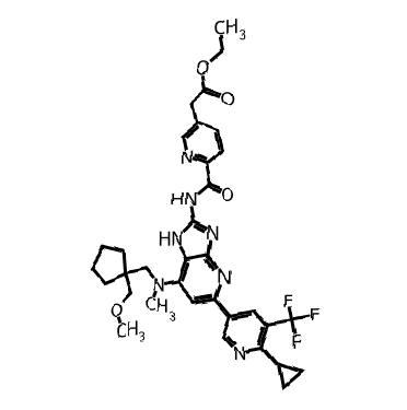 CCOC(=O)Cc1ccc(C(=O)Nc2nc3nc(-c4cnc(C5CC5)c(C(F)(F)F)c4)cc(N(C)CC4(COC)CCCC4)c3[nH]2)nc1